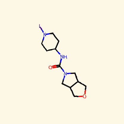 O=C(NC1CCN(I)CC1)N1CC2COCC2C1